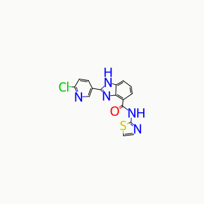 O=C(Nc1nccs1)c1cccc2[nH]c(-c3ccc(Cl)nc3)nc12